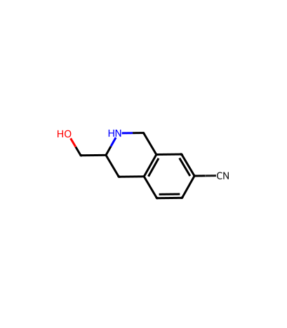 N#Cc1ccc2c(c1)CNC(CO)C2